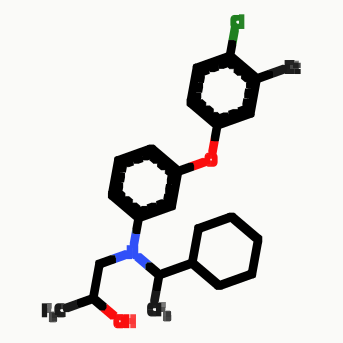 CCc1cc(Oc2cccc(N(CC(O)C(F)(F)F)C(C3CCCCC3)C(F)(F)F)c2)ccc1Cl